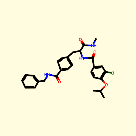 CNC(=O)C(Cc1ccc(C(=O)NCc2ccccc2)cc1)NC(=O)c1ccc(OC(C)C)c(Cl)c1